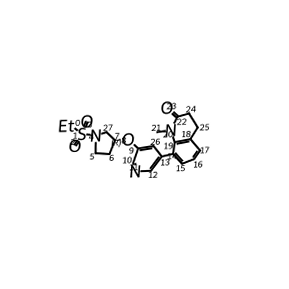 CCS(=O)(=O)N1CC[C@@H](Oc2cncc(-c3cccc4c3N(C)C(=O)CC4)c2)C1